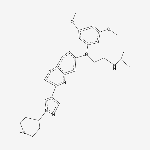 COc1cc(OC)cc(N(CCNC(C)C)c2ccc3ncc(-c4cnn(C5CCNCC5)c4)nc3c2)c1